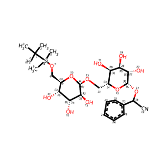 CC(C)C(C)(C)[Si](C)(C)OC[C@H]1O[C@@H](OC[C@H]2O[C@@H](OC(C#N)c3ccccc3)[C@@H](O)[C@H](O)[C@@H]2O)[C@@H](O)[C@H](O)[C@@H]1O